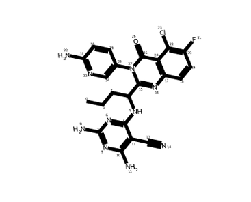 CCCC(Nc1nc(N)nc(N)c1C#N)c1nc2ccc(F)c(Cl)c2c(=O)n1-c1ccc(N)nc1